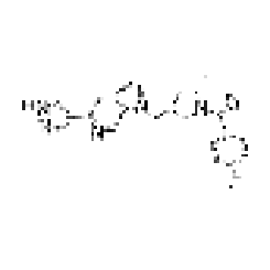 C[C@H]1C[C@H](Cn2ccc3cc(-c4cn[nH]c4)ncc32)CN1C(=O)c1ccc(F)cc1